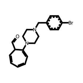 O=CC1C=CC=CC=C1N1CCN(Cc2ccc(Br)cc2)CC1